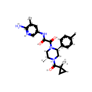 CCc1cc(NC(=O)C(=O)N2C[C@@H](C)N(C(=O)C3(C(F)(F)F)CC3)C[C@@H]2c2ccc(C)cc2)cnc1N